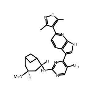 CN[C@H]1CC2CC(C2)[C@H](Nc2ncc(C(F)(F)F)c(-c3c[nH]c4nc(-c5c(C)noc5C)ccc34)n2)C1